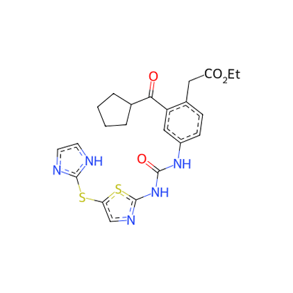 CCOC(=O)Cc1ccc(NC(=O)Nc2ncc(Sc3ncc[nH]3)s2)cc1C(=O)C1CCCC1